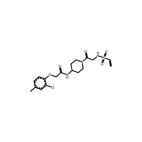 C=CS(=O)(=O)NCC(=O)N1CCC(NC(=O)COc2ccc(C)cc2Cl)CC1